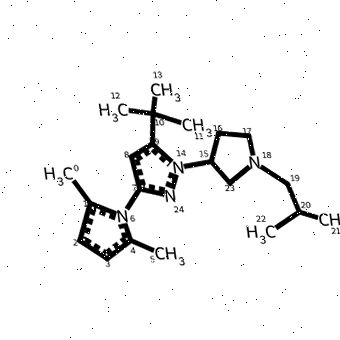 Cc1ccc(C)n1-c1cc(C(C)(C)C)n(C2CCN(CC(C)C)C2)n1